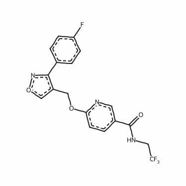 O=C(NCC(F)(F)F)c1ccc(OCc2conc2-c2ccc(F)cc2)nc1